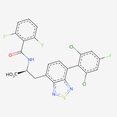 O=C(N[C@@H](Cc1ccc(-c2c(Cl)cc(F)cc2Cl)c2nsnc12)C(=O)O)c1c(F)cccc1F